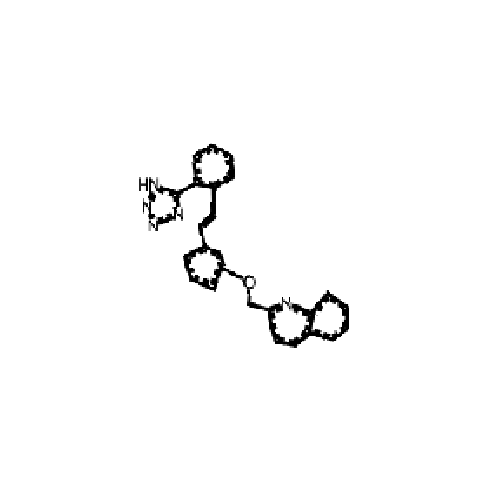 C(=Cc1ccccc1-c1nnn[nH]1)c1cccc(OCc2ccc3ccccc3n2)c1